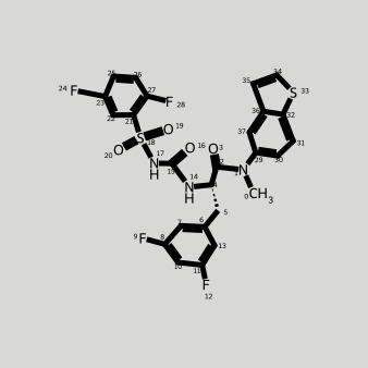 CN(C(=O)[C@H](Cc1cc(F)cc(F)c1)NC(=O)NS(=O)(=O)c1cc(F)ccc1F)c1ccc2sccc2c1